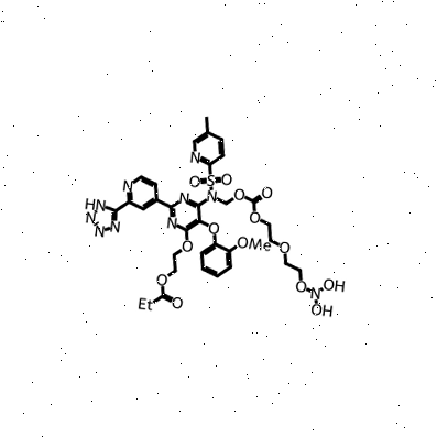 CCC(=O)OCCOc1nc(-c2ccnc(-c3nnn[nH]3)c2)nc(N(COC(=O)OCCOCCON(O)O)S(=O)(=O)c2ccc(C)cn2)c1Oc1ccccc1OC